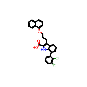 O=C(O)c1[nH]c2c(-c3cccc(Cl)c3Cl)cccc2c1CCCOc1cccc2ccccc12